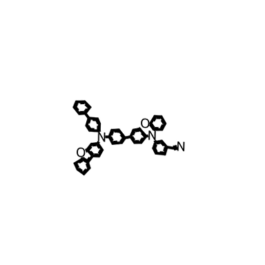 N#Cc1cccc(N2c3ccccc3Oc3cc(-c4ccc(N(c5ccc(-c6ccccc6)cc5)c5ccc6c(c5)oc5ccccc56)cc4)ccc32)c1